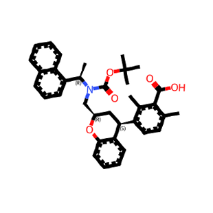 Cc1ccc([C@@H]2C[C@H](CN(C(=O)OC(C)(C)C)[C@H](C)c3cccc4ccccc34)Oc3ccccc32)c(C)c1C(=O)O